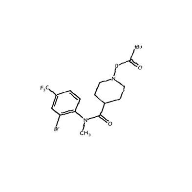 CN(C(=O)C1CCN(OC(=O)C(C)(C)C)CC1)c1ccc(C(F)(F)F)cc1Br